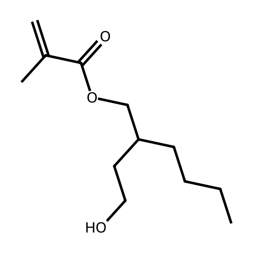 C=C(C)C(=O)OCC(CCO)CCCC